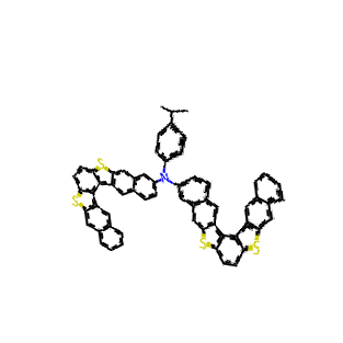 CC(C)c1ccc(N(c2ccc3cc4c(cc3c2)sc2ccc3sc5cc6ccccc6cc5c3c24)c2ccc3cc4c(cc3c2)sc2ccc3sc5cc6ccccc6cc5c3c24)cc1